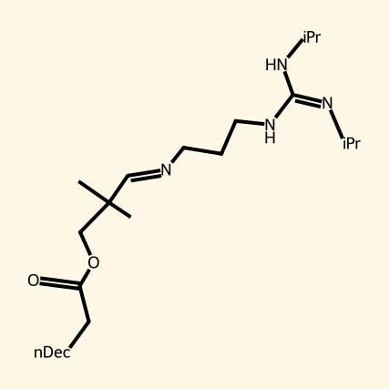 CCCCCCCCCCCC(=O)OCC(C)(C)/C=N/CCCN/C(=N\C(C)C)NC(C)C